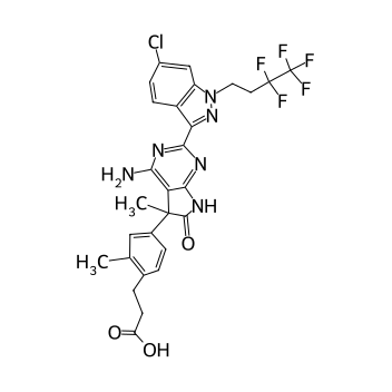 Cc1cc(C2(C)C(=O)Nc3nc(-c4nn(CCC(F)(F)C(F)(F)F)c5cc(Cl)ccc45)nc(N)c32)ccc1CCC(=O)O